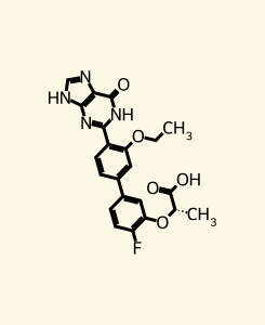 CCOc1cc(-c2ccc(F)c(O[C@@H](C)C(=O)O)c2)ccc1-c1nc2[nH]cnc2c(=O)[nH]1